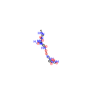 NC(=O)c1nn(-c2ccc(C(=O)NCCOCCOCCN3CCC(Nc4cccc5c4C(=O)N(C4CCC(=O)NC4=O)C5=O)CC3)cc2)cc1NC(=O)c1coc(-c2ccnc(NCC3CC3)c2)n1